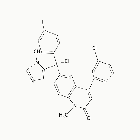 Cn1cncc1[C@@](Cl)(c1ccc(I)cc1)c1ccc2c(n1)c(-c1cccc(Cl)c1)cc(=O)n2C